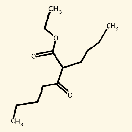 CCCCC(=O)C(CCCC)C(=O)OCC